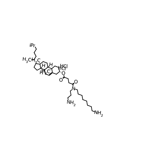 CC(C)CCCC(C)[C@H]1CC[C@H]2[C@@H]3CC=C4C[C@@H](OC(=O)CCC(=O)N(CCCN)CCCCCCCCN)CC[C@]4(C)[C@H]3CC[C@]12C.Cl.Cl